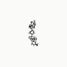 O=C(CS(=O)(=O)c1cccc(F)c1)c1ccc(-c2noc(C(F)(F)F)n2)cc1